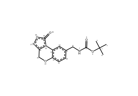 CC(C)(C)OC(=O)NCc1ccc2c(c1)-n1c(noc1=O)CO2